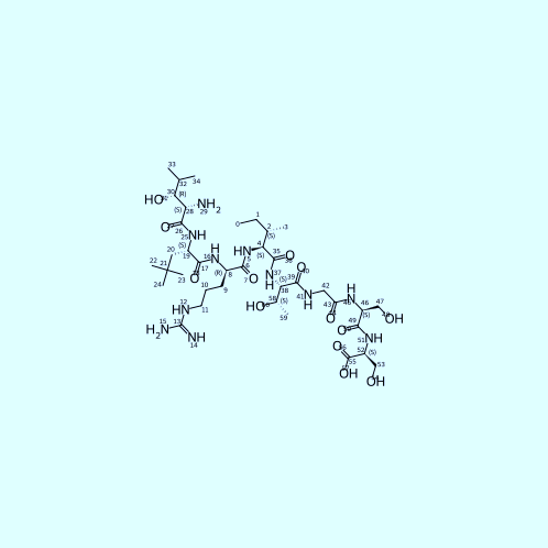 CC[C@H](C)[C@H](NC(=O)[C@@H](CCCNC(=N)N)NC(=O)[C@H](CC(C)(C)C)NC(=O)[C@@H](N)[C@H](O)C(C)C)C(=O)N[C@H](C(=O)NCC(=O)N[C@@H](CO)C(=O)N[C@@H](CO)C(=O)O)[C@H](C)O